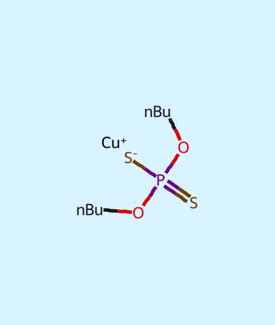 CCCCOP(=S)([S-])OCCCC.[Cu+]